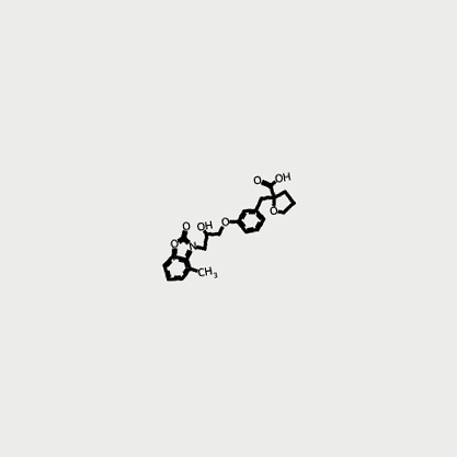 Cc1cccc2oc(=O)n(CC(O)COc3cccc(CC4(C(=O)O)CCCO4)c3)c12